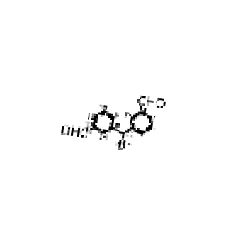 O=Cc1cccc(C(Br)c2cccc(C=O)c2)c1